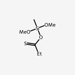 CCC(=S)O[Si](C)(OC)OC